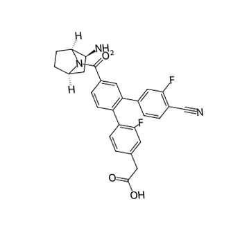 N#Cc1ccc(-c2cc(C(=O)N3[C@@H]4CC[C@H]3[C@@H](N)C4)ccc2-c2ccc(CC(=O)O)cc2F)cc1F